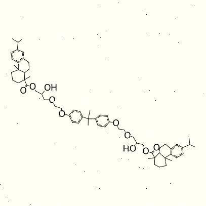 CC(C)c1ccc2c(c1)CCC1C(C)(C(=O)OCC(O)COCCOc3ccc(C(C)(C)c4ccc(OCCOCC(O)COC(=O)C5(C)CCCC6(C)c7ccc(C(C)C)cc7CCC56)cc4)cc3)CCCC21C